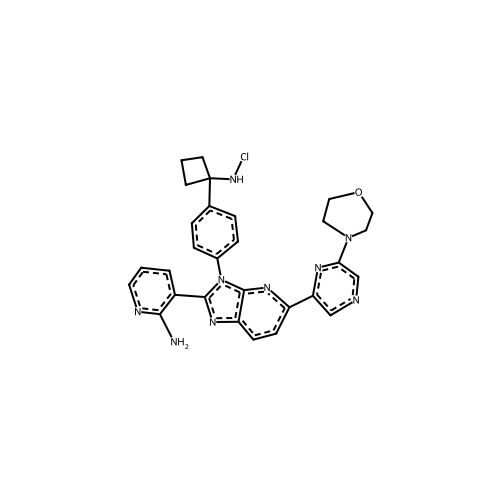 Nc1ncccc1-c1nc2ccc(-c3cncc(N4CCOCC4)n3)nc2n1-c1ccc(C2(NCl)CCC2)cc1